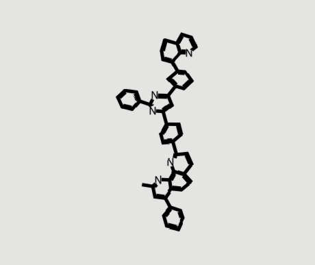 Cc1cc(-c2ccccc2)c2ccc3ccc(-c4ccc(-c5cc(-c6cccc(-c7cccc8cccnc78)c6)nc(-c6ccccc6)n5)cc4)nc3c2n1